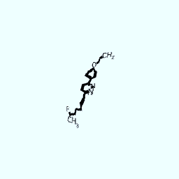 C=CCOc1ccc(-c2ccc(C#CCCCC(C)F)nn2)cc1